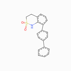 O=S1(=O)CCc2cccc(-c3ccc(-c4ccccc4)cc3)c2N1